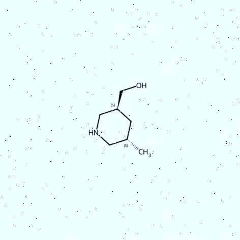 C[C@@H]1CNC[C@@H](CO)C1